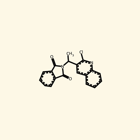 CC(c1cc2ccccc2nc1Cl)N1C(=O)c2ccccc2C1=O